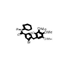 COc1cc(Cc2ccc(C(=O)N(C(C)C)C3CCCCC3)cc2Br)c(O)c(OC)c1OC